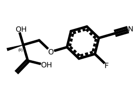 C=C(O)[C@](C)(O)COc1ccc(C#N)c(F)c1